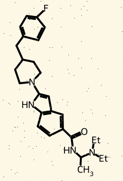 CCN(CC)C(C)NC(=O)c1ccc2[nH]c(N3CCC(Cc4ccc(F)cc4)CC3)cc2c1